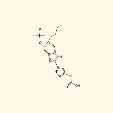 CCCSc1cc2[nH]c(-n3cc(OC(=O)O)cn3)nc2cc1OC(F)(F)F